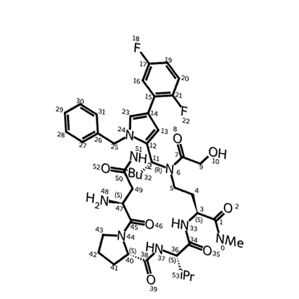 CNC(=O)[C@H](CCN(C(=O)CO)[C@@H](c1cc(-c2cc(F)ccc2F)cn1Cc1ccccc1)C(C)(C)C)NC(=O)[C@@H](NC(=O)[C@@H]1CCCN1C(=O)[C@@H](N)CC(N)=O)C(C)C